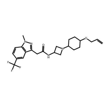 C=CCOC1CCC(N2CC(NC(=O)Cc3nn(C)c4ccc(C(F)(F)F)cc34)C2)CC1